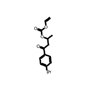 C=COC(=O)OC(C)CC(=O)c1ccc(C(C)C)cc1